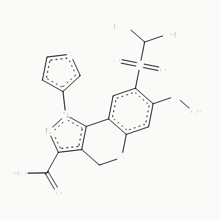 COc1cc2c(cc1S(=O)(=O)C(C)C)-c1c(c(C(=O)O)nn1-c1ccsc1)CO2